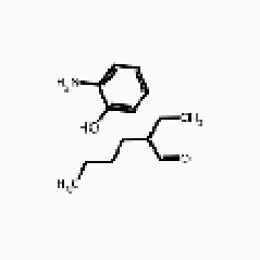 CCCCC(C=O)CC.Nc1ccccc1O